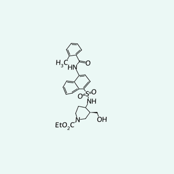 CCOC(=O)N1CCC(NS(=O)(=O)c2ccc(NC(=O)c3ccccc3C)c3ccccc23)[C@@H](CO)C1